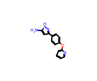 Nc1cc(-c2ccc(Oc3ccccn3)cc2)n[nH]1